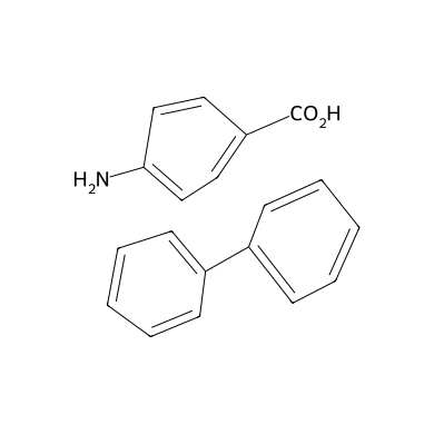 Nc1ccc(C(=O)O)cc1.c1ccc(-c2ccccc2)cc1